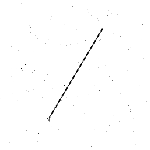 C#CC#CC#CC#CC#CC#CC#CC#CC#CC#CC#CC#CC#CC#CC#CC#N